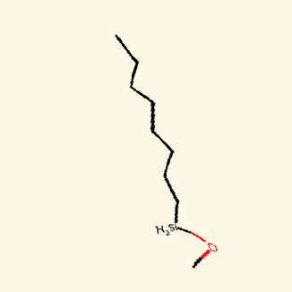 CCCCCCCC[SiH2]OC